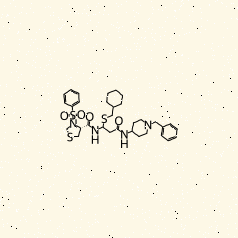 O=C(CC(NC(=O)[C@@H]1CSCN1S(=O)(=O)c1ccccc1)SCC1CCCCC1)NC1CCN(Cc2ccccc2)CC1